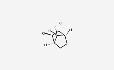 Cl[C@H]1[C@H](Cl)[C@@]2(Cl)CC[C@]1(Cl)C2(Cl)Cl